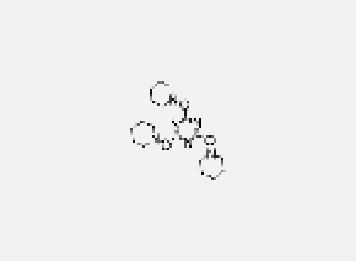 C1CCN(Oc2nc(ON3CCCCC3)nc(ON3CCCCC3)n2)CC1